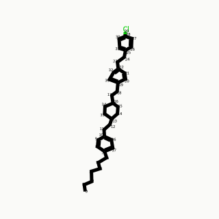 CCCCCCCc1ccc(CCC2CCC(CCc3ccc(CCc4ccc(Cl)cc4)cc3)CC2)cc1